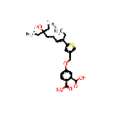 CCC(=CCCC(O)(CC)CC)c1cc(COc2ccc(C(=O)O)c(C(=O)O)c2)cs1